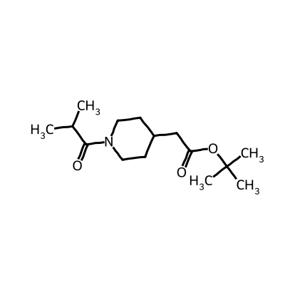 CC(C)C(=O)N1CCC(CC(=O)OC(C)(C)C)CC1